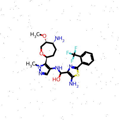 CO[C@H]1CO[C@H](c2c(NC(O)c3nc(-c4ccccc4C(F)(F)F)sc3N)cnn2C)CC[C@H]1N